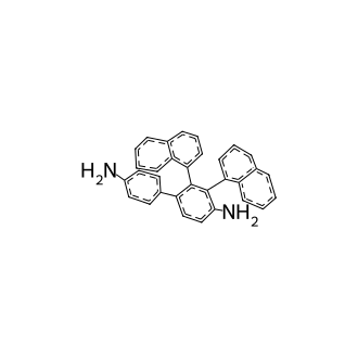 Nc1ccc(-c2ccc(N)c(-c3cccc4ccccc34)c2-c2cccc3ccccc23)cc1